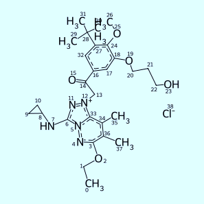 CCOc1nn2c(NC3CC3)n[n+](CC(=O)c3cc(OCCCO)c(OC)c(C(C)(C)C)c3)c2c(C)c1C.[Cl-]